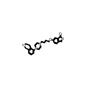 O=C1N=Cc2ccc(OCCCCN3CCN(c4cccc5c4CCOC5)CC3)cc21